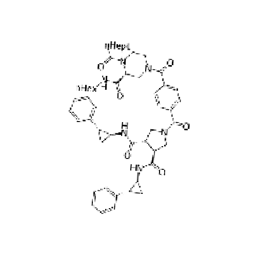 CCCCCCCC(=O)N1CCN(C(=O)c2ccc(C(=O)N3C[C@@H](C(=O)N[C@H]4C[C@@H]4c4ccccc4)[C@H](C(=O)N[C@H]4C[C@@H]4c4ccccc4)C3)cc2)C[C@H]1C(=O)NCCCCCC